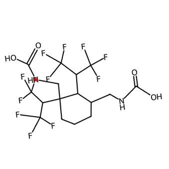 O=C(O)NCC1CCCC(CNC(=O)O)(C(C(F)(F)F)C(F)(F)F)C1C(C(F)(F)F)C(F)(F)F